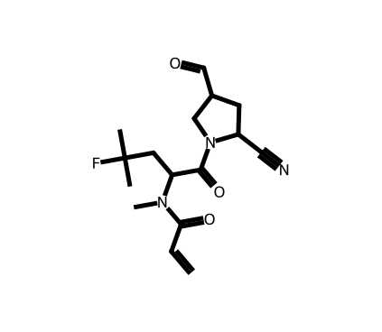 C=CC(=O)N(C)C(CC(C)(C)F)C(=O)N1CC(C=O)CC1C#N